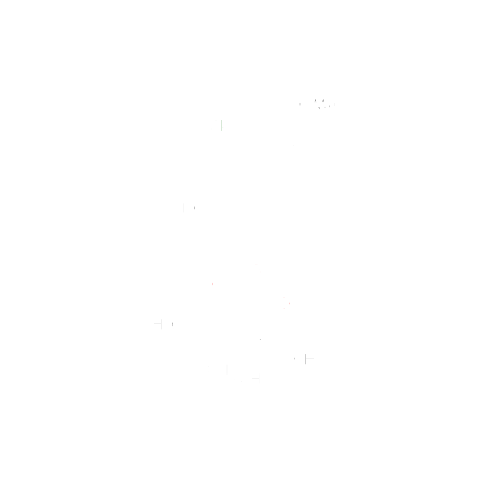 COc1ccc(B2OC(C)(C)C(C)(C)O2)c(C)c1Cl